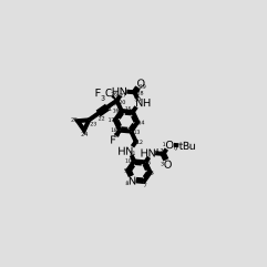 CC(C)(C)OC(=O)Nc1ccncc1NCc1cc2c(cc1F)[C@@](C#CC1CC1)(C(F)(F)F)NC(=O)N2